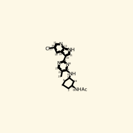 CC(=O)NC1CCCC(Nc2nc(-c3c[nH]c4ncc(Cl)cc34)ncc2C)C1